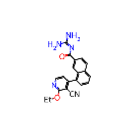 CCOc1nccc(-c2cccc3ccc(C(=O)N=C(N)N)cc23)c1C#N